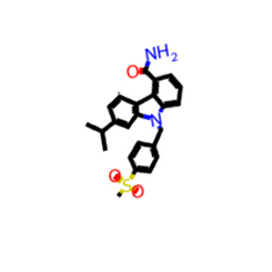 CC(C)c1c[c]c2c3c(C(N)=O)cccc3n(Cc3ccc(S(C)(=O)=O)cc3)c2c1